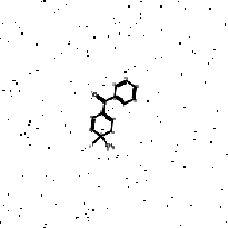 CC1(I)C=CC(C(=O)c2ccccc2)=CC1